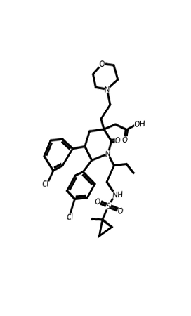 CCC(CNS(=O)(=O)C1(C)CC1)N1C(=O)C(CCN2CCOCC2)(CC(=O)O)CC(c2cccc(Cl)c2)C1c1ccc(Cl)cc1